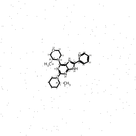 C[C@@H]1CCCCN1c1nc(N2CCOC[C@H]2C)c2nc(-c3ccccn3)[nH]c2n1